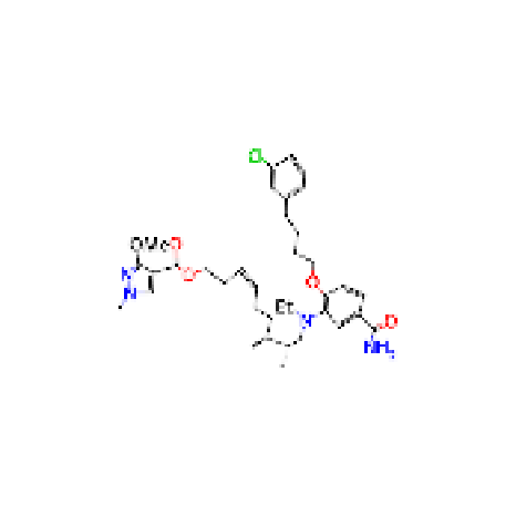 CCN(C[C@H](C)[C@@H](C)CC/C=C\CCOC(=O)c1cn(C)nc1OC)c1cc(C(N)=O)ccc1OCCCCc1cccc(Cl)c1